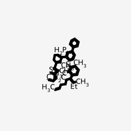 C=C(CC/C=C\C)/C(=C(/C)CC)c1cccc(Sc2c(C)cc(-c3ccccc3)c(P)c2C2=CCCC(c3sc4ccccc4c3C)=C2C)c1C